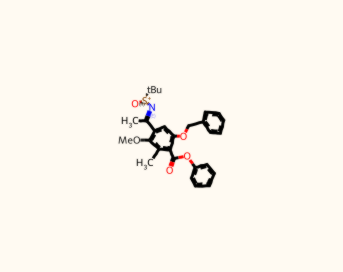 COc1c(/C(C)=N/[S@@+]([O-])C(C)(C)C)cc(OCc2ccccc2)c(C(=O)Oc2ccccc2)c1C